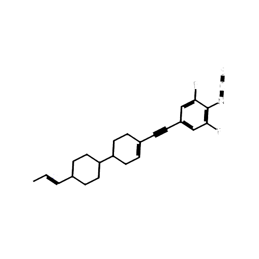 C/C=C/C1CCC(C2CC=C(C#Cc3cc(F)c(N=C=S)c(F)c3)CC2)CC1